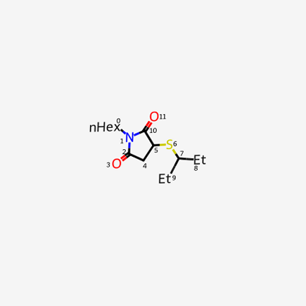 CCCCCCN1C(=O)CC(SC(CC)CC)C1=O